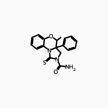 CC1Oc2ccccc2N2C(=S)N(C(N)=O)CC12c1ccccc1